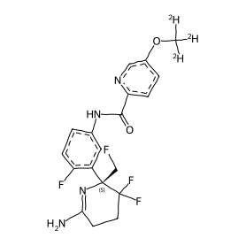 [2H]C([2H])([2H])Oc1ccc(C(=O)Nc2ccc(F)c([C@@]3(CF)N=C(N)CCC3(F)F)c2)nc1